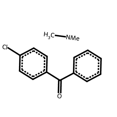 CNC.O=C(c1ccccc1)c1ccc(Cl)cc1